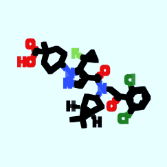 CC1(C(=O)O)CCC(n2ncc(C(=O)N(CC(=O)c3c(Cl)cccc3Cl)[C@H]3C[C@@H]4[C@H](C3)C4(C)C)c2C2(F)CC2)CC1